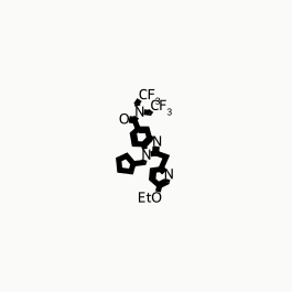 CCOc1ccc(Cc2nc3cc(C(=O)N(CC(F)(F)F)CC(F)(F)F)ccc3n2CC2CCCC2)nc1